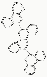 c1ccc2c(c1)cc(-c1cc3c4ccccc4c(-c4cc5ccccc5c5ccccc45)cc3c3ccccc13)c1ccccc12